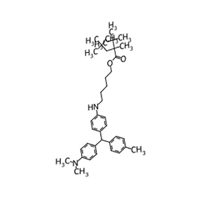 Cc1ccc(C(c2ccc(NCCCCCOC(=O)C(C)(CC(C)(C)C)C(C)(C)C)cc2)c2ccc(N(C)C)cc2)cc1